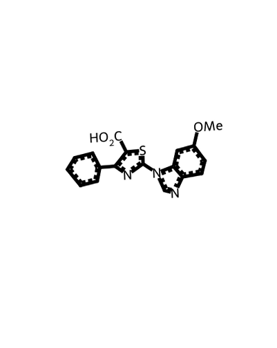 COc1ccc2ncn(-c3nc(-c4ccccc4)c(C(=O)O)s3)c2c1